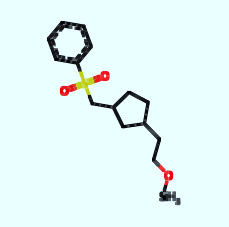 O=S(=O)(CC1CCC(CCO[SiH3])C1)c1ccccc1